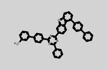 Cc1cccc(-c2ccc(-c3nc(-c4ccccc4)nc(-c4ccc5c(c4)oc4cccc(-c6ccc(-c7ccccc7)cc6)c45)n3)cc2)c1